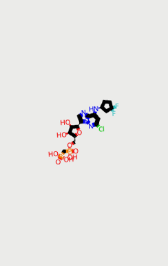 O=P(O)(O)CP(=O)(O)OC[C@H]1O[C@@H](c2cnc3c(N[C@@H]4CCC(F)(F)C4)cc(Cl)nn23)[C@H](O)[C@@H]1O